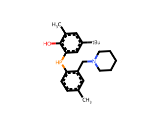 Cc1ccc(Pc2cc(C(C)(C)C)cc(C)c2O)c(CN2CCCCC2)c1